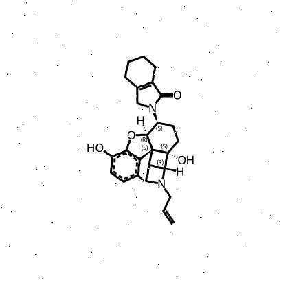 C=CCN1CC2[C@@H]1[C@]1(O)CC[C@H](N3CC4=C(CCCC4)C3=O)[C@@H]3Oc4c(O)ccc(C)c4[C@@]231